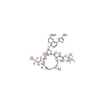 CC[C@@H]1CC/C=C\[C@H]2C[C@@]2(C(=O)NS(=O)(=O)C2CC2)NC(=O)[C@@H]2C[C@@H](Oc3ncc(-c4nc(C(C)(C)C)cs4)c4cc(OC)ccc34)CN2C(=O)[C@@H](NC(=O)OC(C)(C)C(F)(F)F)[C@H](CC)C1